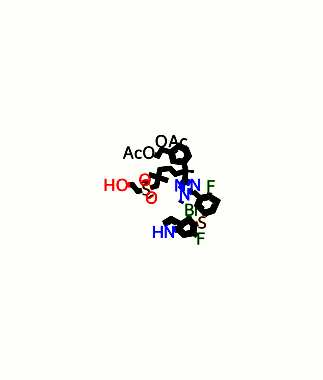 CC(=O)OC[C@@H](OC(C)=O)c1cccc([C@@](C)(CCCC(C)(C)CS(=O)(=O)CCO)c2nc(-c3cc(Sc4c(F)cc5[nH]ccc5c4Br)ccc3F)n(C)n2)c1